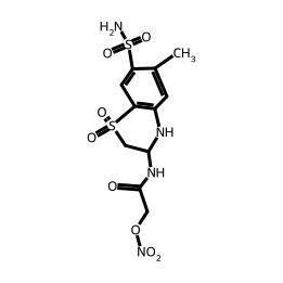 Cc1cc2c(cc1S(N)(=O)=O)S(=O)(=O)CC(NC(=O)CO[N+](=O)[O-])N2